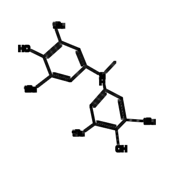 C[SiH](c1cc(C(C)(C)C)c(O)c(C(C)(C)C)c1)c1cc(C(C)(C)C)c(O)c(C(C)(C)C)c1